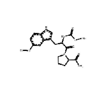 CCOc1ccc2[nH]cc(CC(NC(=O)OC(C)(C)C)C(=O)N3CCCC3C(N)=O)c2c1